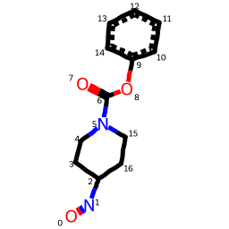 O=NC1CCN(C(=O)Oc2ccccc2)CC1